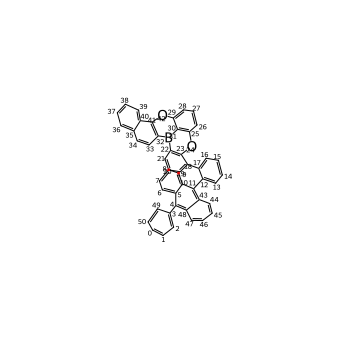 c1ccc(-c2c3ccccc3c(-c3ccccc3-c3cccc4c3Oc3cccc5c3B4c3ccc4ccccc4c3O5)c3ccccc23)cc1